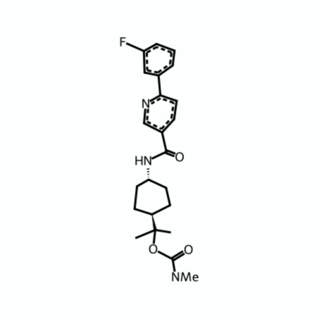 CNC(=O)OC(C)(C)[C@H]1CC[C@H](NC(=O)c2ccc(-c3cccc(F)c3)nc2)CC1